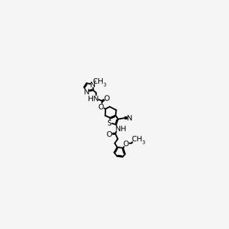 CCOc1ccccc1CCC(=O)Nc1sc2c(c1C#N)CCC(OC(=O)NCc1nccn1C)C2